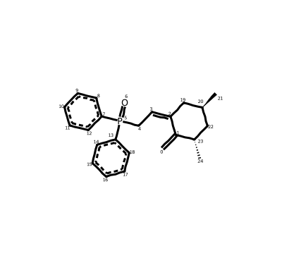 C=C1/C(=C\CP(=O)(c2ccccc2)c2ccccc2)C[C@@H](C)C[C@@H]1C